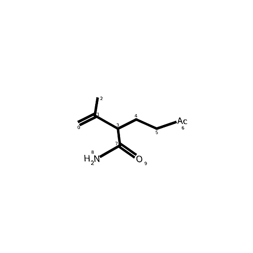 C=C(C)C(CCC(C)=O)C(N)=O